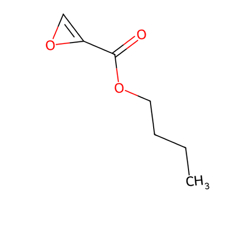 CCCCOC(=O)C1=CO1